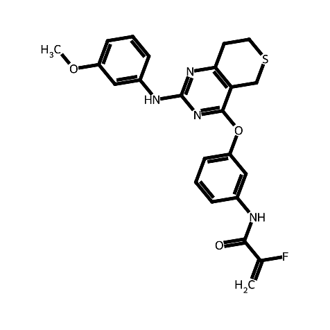 C=C(F)C(=O)Nc1cccc(Oc2nc(Nc3cccc(OC)c3)nc3c2CSCC3)c1